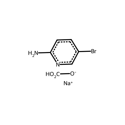 Nc1ccc(Br)cn1.O=C([O-])O.[Na+]